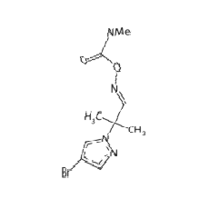 CNC(=O)ON=CC(C)(C)n1cc(Br)cn1